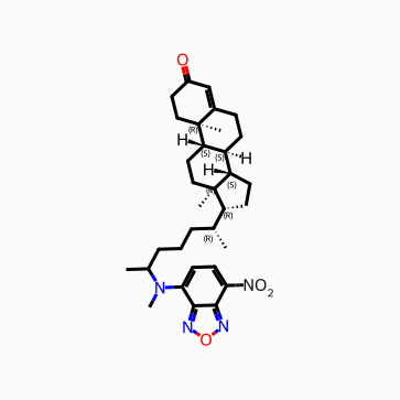 CC(CCC[C@@H](C)[C@H]1CC[C@H]2[C@@H]3CCC4=CC(=O)CC[C@]4(C)[C@H]3CC[C@]12C)N(C)c1ccc([N+](=O)[O-])c2nonc12